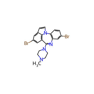 CN1CCN(C2=Nc3cc(Br)ccc3-n3ccc4cc(Br)cc2c43)CC1